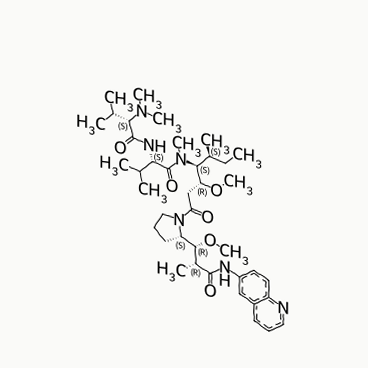 CC[C@H](C)[C@@H]([C@@H](CC(=O)N1CCC[C@H]1[C@H](OC)[C@@H](C)C(=O)Nc1ccc2ncccc2c1)OC)N(C)C(=O)[C@@H](NC(=O)[C@H](C(C)C)N(C)C)C(C)C